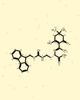 CC(=N[C@@H](CCNC(=O)OCC1c2ccccc2-c2ccccc21)C(=O)O)C1=C(O)CC(C)(C)CC1=O